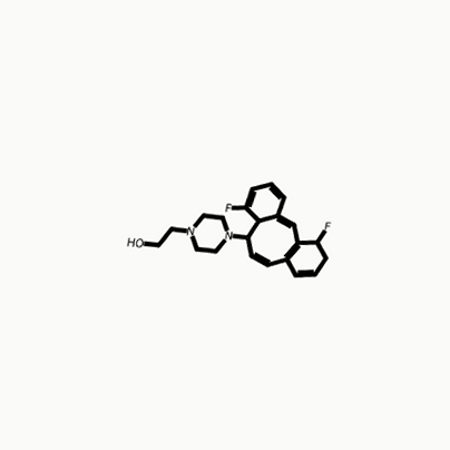 OCCN1CCN(C2/C=C\C3=C(/C=C4/C=CC=C(F)C42)C(F)CC=C3)CC1